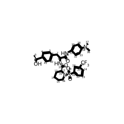 C[C@H](O)c1ccc(CC(NC(=O)[C@@H]2CCCCN2S(=O)(=O)c2cccc(C(F)(F)F)c2)C(=O)Nc2ccc(N(C)C)cc2)cc1